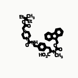 CCC(C)(CC)OC(=O)CN1CCN(C(=O)NCc2ccc(C[C@H](C(=O)O)N(C)C(=O)OCC3c4ccccc4-c4ccccc43)cc2)CC1